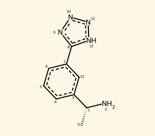 C[C@@H](N)c1cccc(-c2nnn[nH]2)c1